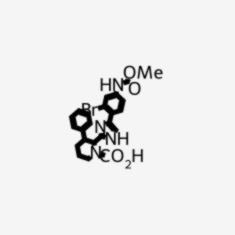 COC(=O)Nc1ccc(-c2c[nH]c(C3C(c4ccccc4)CCCN3C(=O)O)n2)c(Br)c1